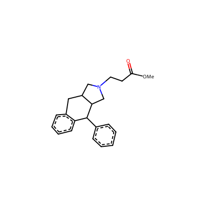 COC(=O)CCN1CC2Cc3ccccc3C(c3ccccc3)C2C1